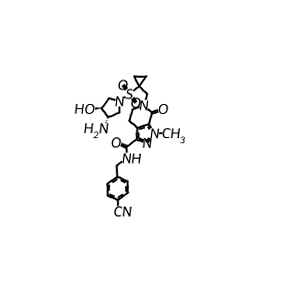 Cn1nc(C(=O)NCc2ccc(C#N)cc2)c2c1C(=O)N(CC1(S(=O)(=O)N3C[C@H](N)[C@@H](O)C3)CC1)CC2